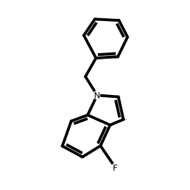 Fc1cccc2c1[c]cn2Cc1ccccc1